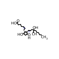 C#CC(O)(C/C=C/[C@@H]1[C@@H](C/C=C\CCCC(=O)O)[C@@H](O)C[C@H]1O)CCCCCC